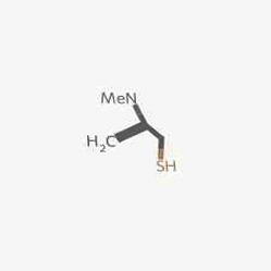 C=C(CS)NC